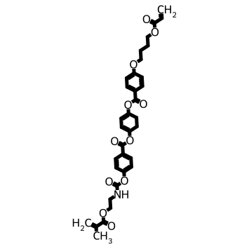 C=CC(=O)OCCCCOc1ccc(C(=O)OC2=CC=C(OC(=O)c3ccc(OC(=O)NCCOC(=O)C(=C)C)cc3)CC2)cc1